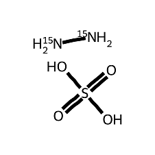 O=S(=O)(O)O.[15NH2][15NH2]